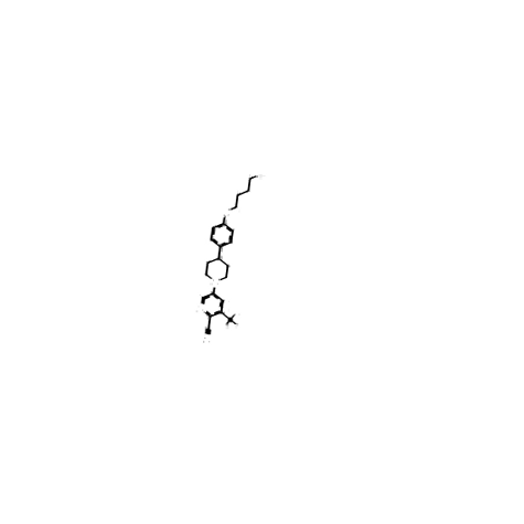 N#Cc1ncc(N2CCC(c3ccc(OCCCCBr)cc3)CC2)cc1C(F)(F)F